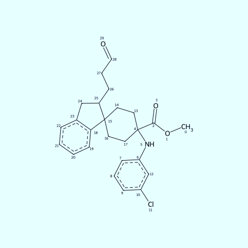 COC(=O)C1(Nc2cccc(Cl)c2)CCC2(CC1)c1ccccc1CC2CCC=O